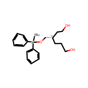 CC(C)(C)[Si](OC[C@H](CCO)CCCO)(c1ccccc1)c1ccccc1